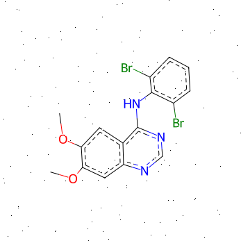 COc1cc2ncnc(Nc3c(Br)cccc3Br)c2cc1OC